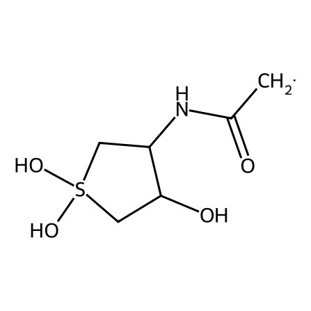 [CH2]C(=O)NC1CS(O)(O)CC1O